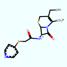 CC(=O)OCC1=C(C(=O)O)N2C(=O)[C@@H](NC(=O)CSc3ccncc3)C2SC1